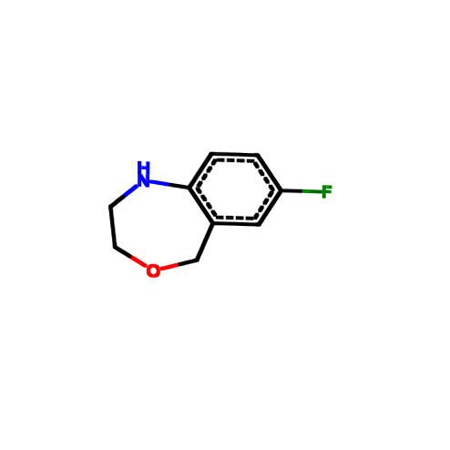 Fc1ccc2c(c1)COCCN2